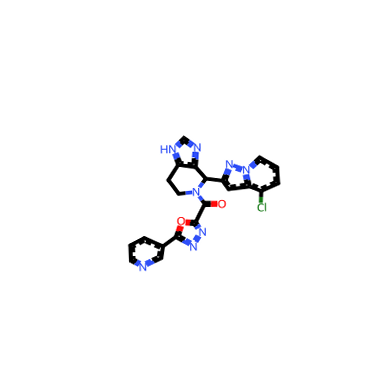 O=C(c1nnc(-c2cccnc2)o1)N1CCc2[nH]cnc2C1c1cc2c(Cl)cccn2n1